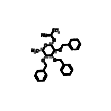 C[C@@H]1O[C@H](OC(=N)C(Cl)(Cl)Cl)[C@@H](OCc2ccccc2)[C@H](OCc2ccccc2)[C@@H]1OCc1ccccc1